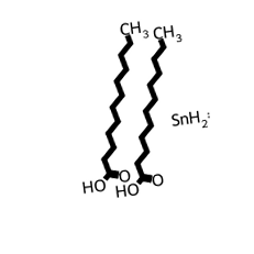 CCCCCCCCCCCC(=O)O.CCCCCCCCCCCC(=O)O.[SnH2]